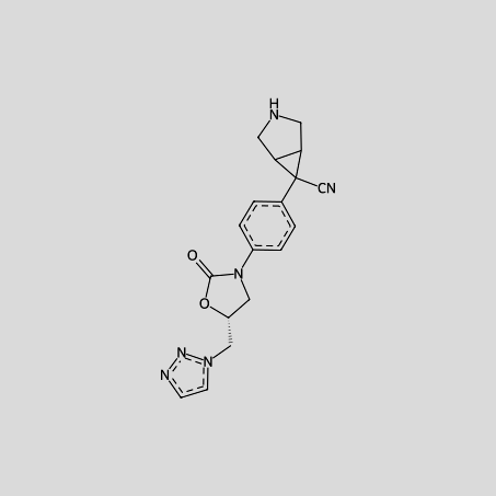 N#CC1(c2ccc(N3C[C@H](Cn4ccnn4)OC3=O)cc2)C2CNCC21